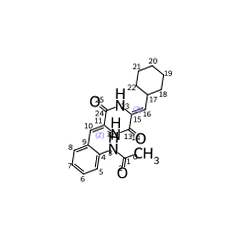 CC(=O)Nc1ccccc1/C=c1\[nH]c(=O)/c(=C/C2CCCCC2)[nH]c1=O